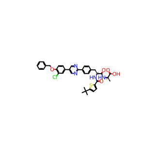 C[C@@H](NC(=O)[C@H](Cc1ccc(-c2ncc(-c3ccc(OCc4ccccc4)c(Cl)c3)cn2)cc1)NC(=O)c1ccc(C(C)(C)C)s1)C(=O)O